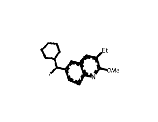 CCc1cc2cc(C(I)C3CCCCC3)ccc2nc1OC